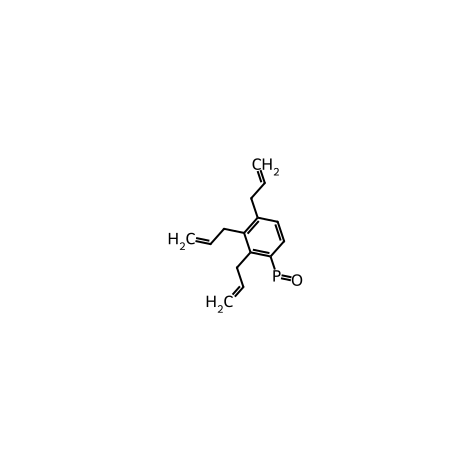 C=CCc1ccc(P=O)c(CC=C)c1CC=C